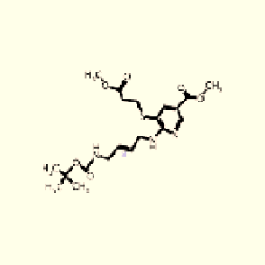 COC(=O)CCSc1cc(C(=O)OC)cnc1NC/C=C/CNC(=O)OC(C)(C)C